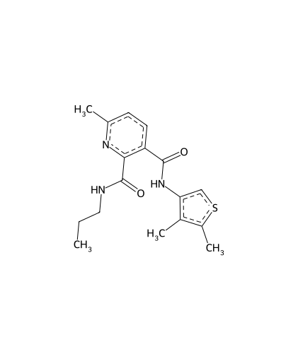 CCCNC(=O)c1nc(C)ccc1C(=O)Nc1csc(C)c1C